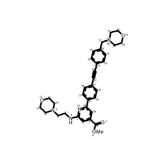 COC(=O)c1cc(NCCN2CCOCC2)nc(-c2ccc(C#Cc3ccc(CN4CCOCC4)cc3)cc2)c1